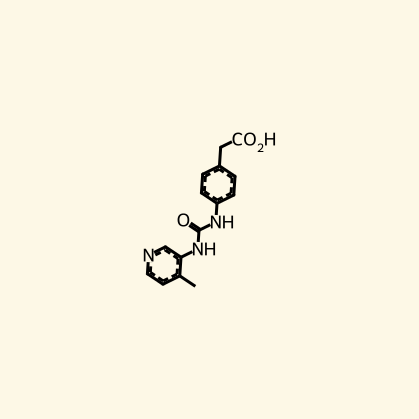 Cc1ccncc1NC(=O)Nc1ccc(CC(=O)O)cc1